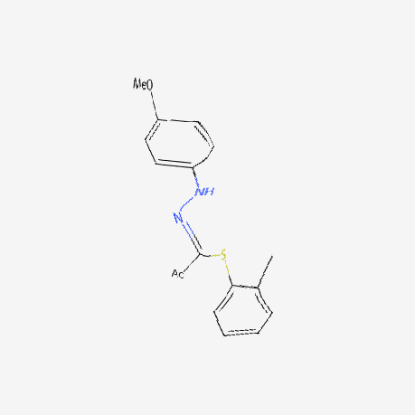 COc1ccc(NN=C(Sc2ccccc2C)C(C)=O)cc1